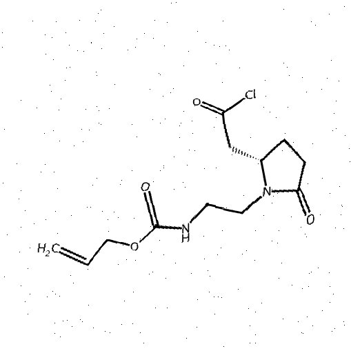 C=CCOC(=O)NCCN1C(=O)CC[C@H]1CC(=O)Cl